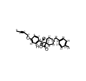 CC#CCOc1ccc(S(=O)(=O)C2(C(=O)O)CCN(Cc3ccc(C)cc3)CC2)cc1